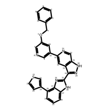 c1ccc(COc2cncc(-c3cc4c(-c5nc6c(-c7ccsc7)cccc6[nH]5)n[nH]c4cn3)c2)cc1